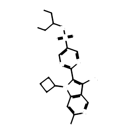 Cc1cc2c(cn1)c(C#N)c(-c1ncc(S(=O)(=O)NC(CF)CF)cn1)n2C1CCC1